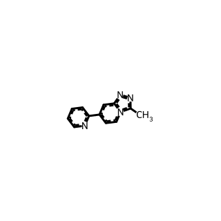 Cc1nnc2cc(-c3ccccn3)ccn12